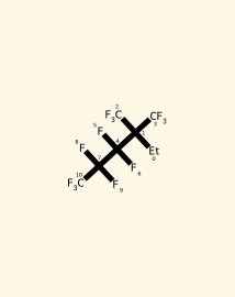 CCC(C(F)(F)F)(C(F)(F)F)C(F)(F)C(F)(F)C(F)(F)F